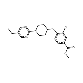 CCc1cnc(N2CCC(Oc3ccc(C(=O)OC)cc3Cl)CC2)nc1